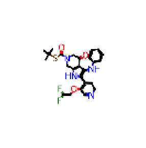 CC(C)(C)SC(=O)N1CC(=O)c2c([nH]c(C3=C(OCC(F)F)C=NCC3)c2NC2=C=C=CC=C2)C1